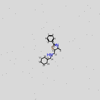 CC1N=C(c2ccccc2)SC1CNCC1CCCCC1